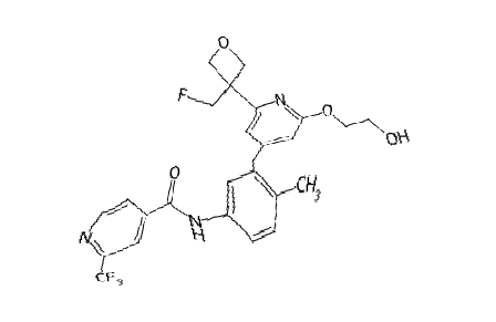 Cc1ccc(NC(=O)c2ccnc(C(F)(F)F)c2)cc1-c1cc(OCCO)nc(C2(CF)COC2)c1